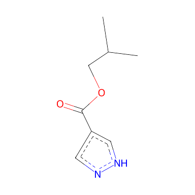 CC(C)COC(=O)c1cn[nH]c1